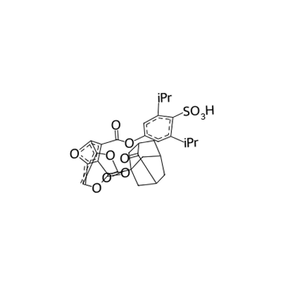 CC(C)c1cc(OC(=O)c2c3c4oc2c(OC(=O)C25CC6CC(C2)C(=O)C(C6)C5)c4OC3=O)cc(C(C)C)c1S(=O)(=O)O